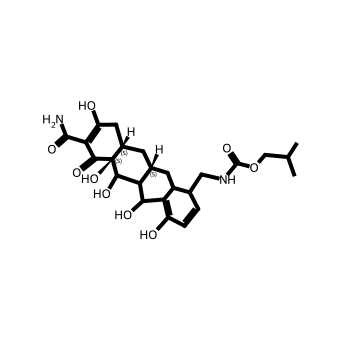 CC(C)COC(=O)NCC1C=CC(O)=C2C(O)C3C(O)[C@]4(O)C(=O)C(C(N)=O)=C(O)C[C@@H]4C[C@@H]3CC21